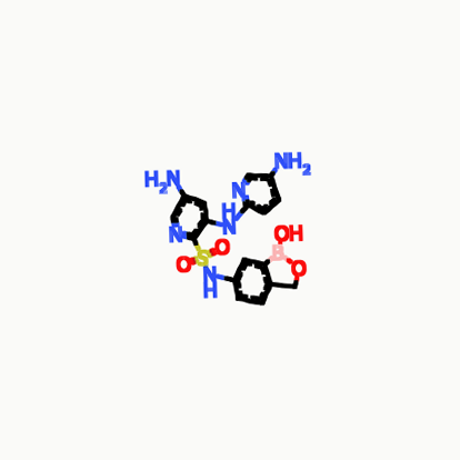 Nc1ccc(Nc2cc(N)cnc2S(=O)(=O)Nc2ccc3c(c2)B(O)OC3)nc1